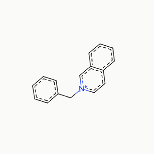 c1ccc(C[n+]2ccc3ccccc3c2)cc1